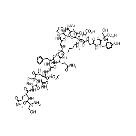 CC[C@H](C)[C@H](NC(=O)[C@H](CC(=O)O)NC(=O)CNC(=O)[C@H](CCCCN)NC(=O)[C@H](CCC(N)=O)NC(=O)[C@H](Cc1ccccc1)NC(=O)[C@H](CC(=O)O)NC(=O)[C@H](CC(N)=O)NC(=O)[C@@H](NC(=O)[C@@H](NC(=O)[C@H](CCC(N)=O)NC(=O)[C@@H](N)CO)[C@@H](C)CC)C(C)C)C(=O)N[C@@H](C)C(=O)N[C@@H](CCC(=O)O)C(=O)NCC(=O)N[C@@H](Cc1ccc(O)cc1)C(=O)N[C@@H](CO)C(=O)O